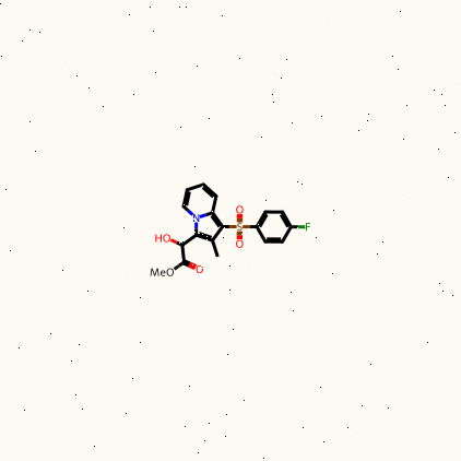 COC(=O)C(O)c1c(C)c(S(=O)(=O)c2ccc(F)cc2)c2ccccn12